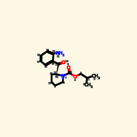 CC(C)COC(=O)N1CCCC[C@@H]1C(=O)c1ccccc1N